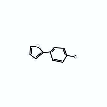 Clc1ccc(-c2ccco2)cc1